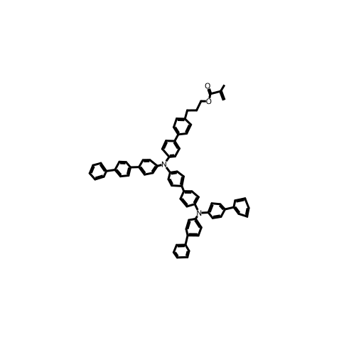 C=C(C)C(=O)OCCCc1ccc(-c2ccc(N(c3ccc(-c4ccc(-c5ccccc5)cc4)cc3)c3ccc(-c4ccc(N(c5ccc(-c6ccccc6)cc5)c5ccc(-c6ccccc6)cc5)cc4)cc3)cc2)cc1